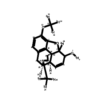 [2H]OC1C=C[C@H]2[C@H]3Cc4ccc(OC([2H])([2H])[2H])c5c4[C@@]2(CCN3C([2H])([2H])[2H])C1([2H])O5